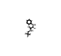 C[C@H](Nc1ccccc1)C(=O)NCC(F)(F)F